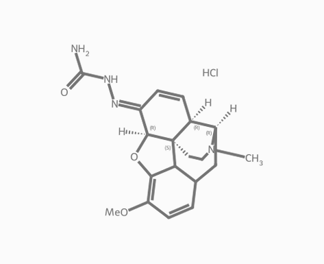 COC1=C2O[C@H]3C(=NNC(N)=O)C=C[C@H]4[C@H]5CC(C=C1)C2[C@@]34CCN5C.Cl